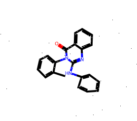 Cc1ccccc1-n1c(Nc2ccccc2)nc2ccccc2c1=O